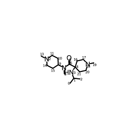 CC(C)NC1(C(=O)N(C)C2CCN(C)CC2)CCN(C)CC1